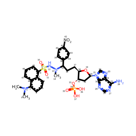 CN(C)c1cccc2c(S(=O)(=O)NN(C)C(CC[C@H]3O[C@@H](n4cnc5c(N)ncnc54)C[C@@H]3OP(=O)(O)O)c3ccc([N+](=O)[O-])cc3)cccc12